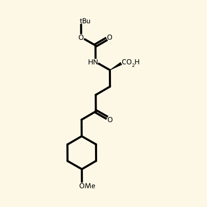 COC1CCC(CC(=O)CC[C@@H](NC(=O)OC(C)(C)C)C(=O)O)CC1